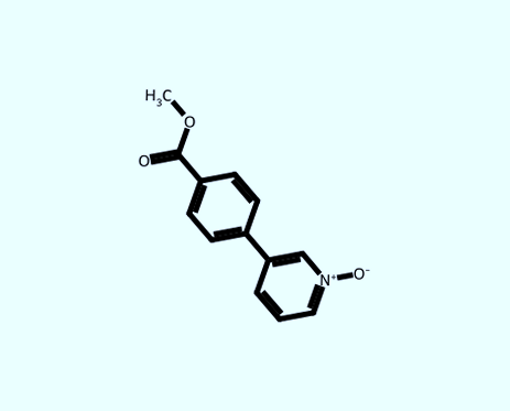 COC(=O)c1ccc(-c2ccc[n+]([O-])c2)cc1